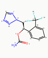 NC(=O)O[C@@H](Cn1ncnn1)c1ccccc1C(F)(F)F